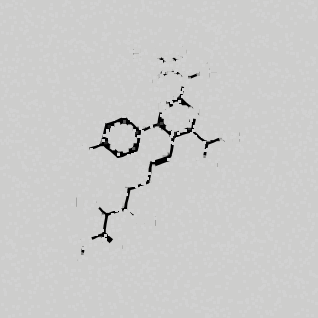 COC(=O)C(O)[C@H](O)CCC=Cc1c(-c2ccc(F)cc2)nc(N(C)S(C)(=O)=O)nc1C(C)C